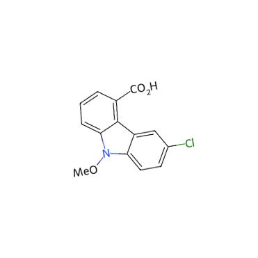 COn1c2ccc(Cl)cc2c2c(C(=O)O)cccc21